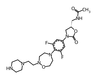 CC(=O)NC[C@H]1CN(c2cc(F)c(N3CCON(CCN4CCNCC4)CC3)c(F)c2)C(=O)O1